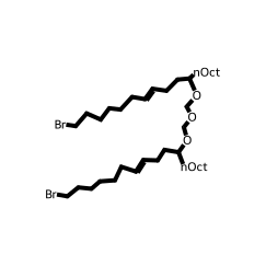 CCCCCCCCC(CCC=CCCCCCCBr)OCOCOC(CCC=CCCCCCCBr)CCCCCCCC